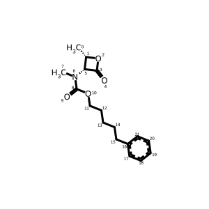 C[C@@H]1OC(=O)[C@@H]1N(C)C(=O)OCCCCCc1ccccc1